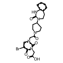 O=C(O)Cn1c(=O)c(Br)cn(CC(=O)N2CCC(N3CCc4ccccc4NC3=O)CC2)c1=O